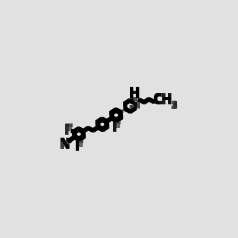 CCCCC[Si@H]1CC[C@H](c2ccc(-c3ccc(CCc4cc(F)c(C#N)c(F)c4)cc3)c(F)c2)CC1